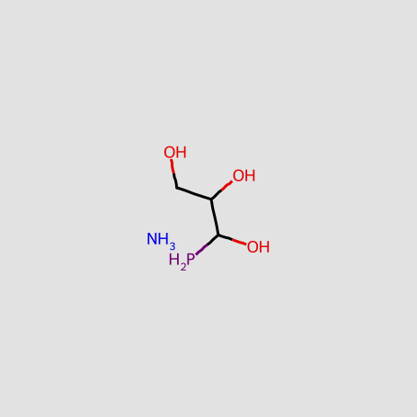 N.OCC(O)C(O)P